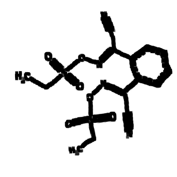 CCS(=O)(=O)ON=C(C#N)c1ccccc1C(C#N)=NOS(=O)(=O)CC